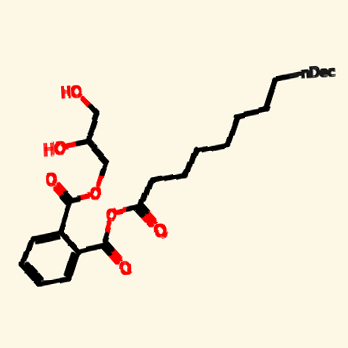 CCCCCCCCCCCCCCCCCC(=O)OC(=O)c1ccccc1C(=O)OCC(O)CO